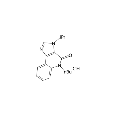 CCCCn1c(=O)c2c(ncn2C(C)C)c2ccccc21.Cl